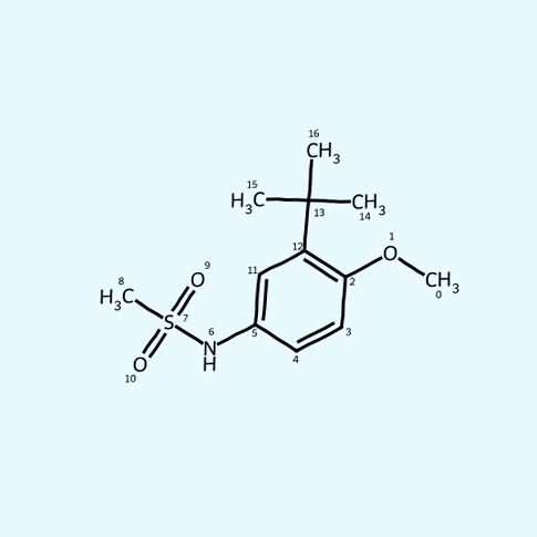 COc1ccc(NS(C)(=O)=O)cc1C(C)(C)C